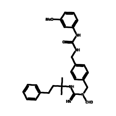 COc1cccc(NC(=O)NCc2ccc(CN(C=O)C(=N)NC(C)(C)CCc3ccccc3)cc2)c1